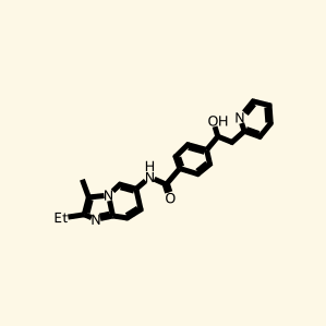 CCc1nc2ccc(NC(=O)c3ccc(C(O)Cc4ccccn4)cc3)cn2c1C